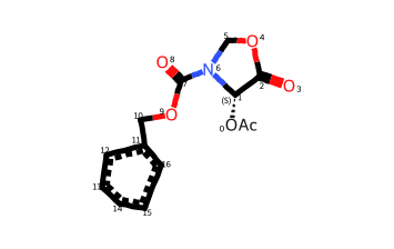 CC(=O)O[C@H]1C(=O)OCN1C(=O)OCc1ccccc1